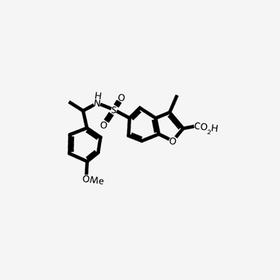 COc1ccc(C(C)NS(=O)(=O)c2ccc3oc(C(=O)O)c(C)c3c2)cc1